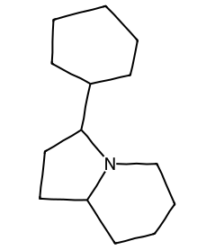 C1CCC(C2CCC3CCCCN32)CC1